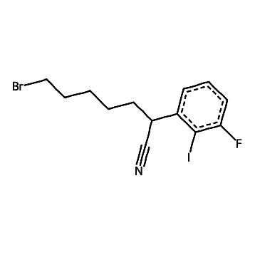 N#CC(CCCCCBr)c1cccc(F)c1I